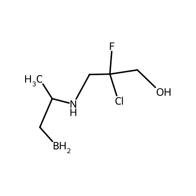 BCC(C)NCC(F)(Cl)CO